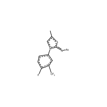 CC(=O)N=c1sc(C)cn1-c1ccc(F)c(C(F)(F)F)c1